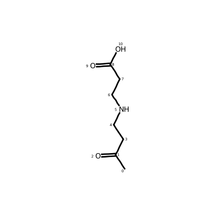 CC(=O)CCNCCC(=O)O